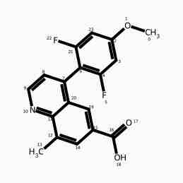 COc1cc(F)c(-c2ccnc3c(C)cc(C(=O)O)cc23)c(F)c1